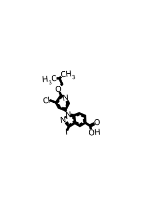 CC(C)COc1ncc(-n2nc(I)c3cc(C(=O)O)ccc32)cc1Cl